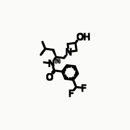 CC(C)C[C@@H](CN1CC(O)C1)N(C)C(=O)c1cccc(C(F)F)c1